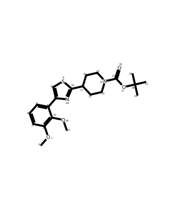 COc1cccc(-c2csc(C3CCN(C(=O)OC(C)(C)C)CC3)n2)c1OC